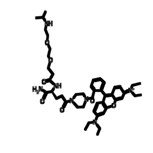 CCN(CC)c1ccc2c(-c3ccccc3C(=O)N3CCN(C(=O)CC[C@H](NC(=O)CCOCCOCCNC(C)C)C(N)=O)CC3)c3ccc(=[N+](CC)CC)cc-3oc2c1